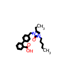 CCCCCn1cc(CC)n(Cc2ccc(-c3ccccc3C(=O)O)cc2)c1=O